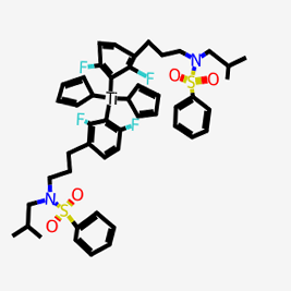 CC(C)CN(CCCc1ccc(F)[c]([Ti]([c]2c(F)ccc(CCCN(CC(C)C)S(=O)(=O)c3ccccc3)c2F)([CH]2C=CC=C2)[CH]2C=CC=C2)c1F)S(=O)(=O)c1ccccc1